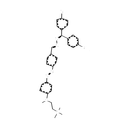 CCN(CC[N+](C)(C)C)c1ccc(N=Nc2ccc(/C=N/N=C(c3ccc([N+](=O)[O-])cc3)c3ccc([N+](=O)[O-])cc3)cc2)cc1.[Br-]